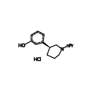 CCCN1CCC[C@@H](c2cccc(O)c2)C1.Cl